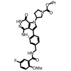 COc1ccc(F)cc1C(=O)NCc1ccc(-c2cn(C3CCN(C(=O)OC(C)C)C3)c3c(=O)[nH]nc(N)c23)cc1